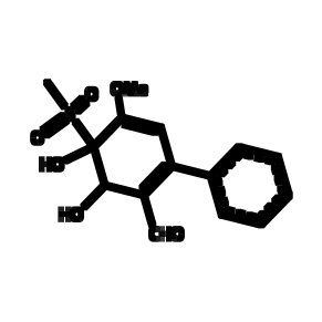 COC1=CC(c2ccccc2)=C(C=O)C(O)C1(O)S(C)(=O)=O